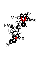 CNCC(=O)NC(C=O)CN(C(=O)c1ccc(C(=O)N2CC(NC(=O)C(C)NC)C(=O)N(Cc3c(OC)ccc4cc(Br)ccc34)c3ccccc32)cn1)c1ccccc1N(C)Cc1c(OC)ccc2cc(Br)ccc12